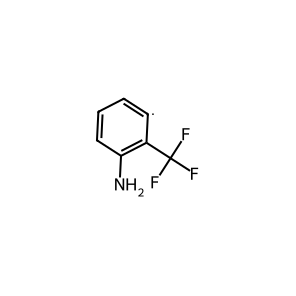 Nc1ccc[c]c1C(F)(F)F